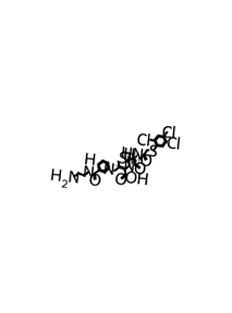 NCCNC(=O)c1ccc[n+](CC2=C(C(=O)O)N3C(=O)[C@H](NC(=O)CSc4cc(Cl)c(Cl)cc4Cl)[C@H]3SC2)c1